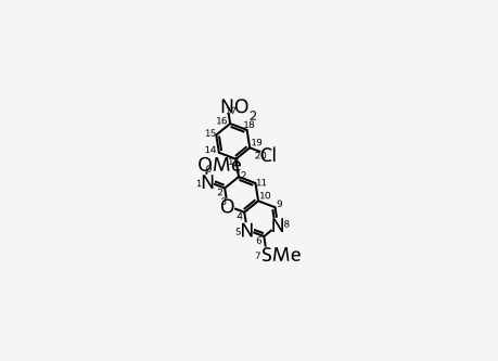 CON=c1oc2nc(SC)ncc2cc1-c1ccc([N+](=O)[O-])cc1Cl